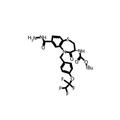 CC(C)(C)OC(=O)N[C@H]1CSc2ccc(C(=O)NN)cc2N(Cc2ccc(OC(F)(F)C(F)F)cc2)C1=O